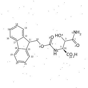 NC(=O)C(O)[C@H](NC(=O)OCC1c2ccccc2-c2ccccc21)C(=O)O